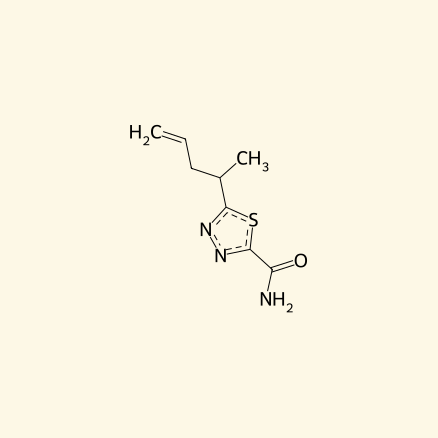 C=CCC(C)c1nnc(C(N)=O)s1